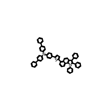 c1ccc(-c2ccc(N(c3ccc(-c4ccccc4)cc3)c3ccc(-c4ccc(-c5cccc6c5ccc5c(-c7ccccc7)c(-c7ccccc7)n(-c7ccccc7)c56)s4)cc3)cc2)cc1